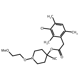 [C-]#[N+]C1(OC(=O)Cc2c(C)cc(C)c(Cl)c2C)CCN(OCCOC)CC1